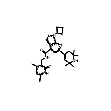 Cc1cc(C)c(CNC(=O)c2cc(C3=CC(C)(C)NC(C)(C)C3)nc3c2cnn3C2CCC2)c(=O)[nH]1